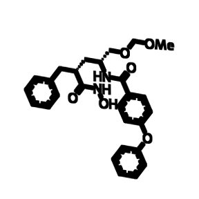 COCOC[C@@H](C[C@@H](Cc1ccccc1)C(=O)NO)NC(=O)c1ccc(Oc2ccccc2)cc1